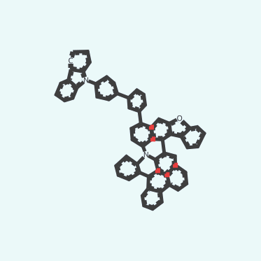 c1cc(-c2ccc(N(c3ccccc3-c3cc4ccccc4c4ccccc34)c3ccccc3-c3cccc4oc5ccccc5c34)cc2)cc(-c2ccc(-n3c4ccccc4c4ccccc43)cc2)c1